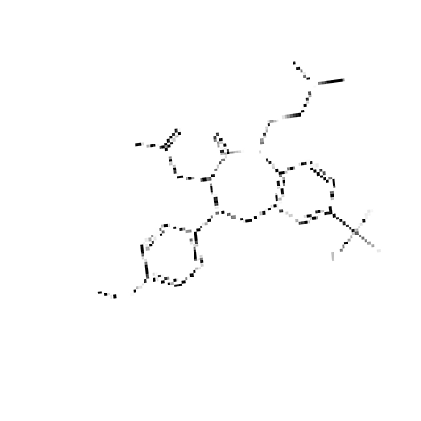 COc1ccc(C2Cc3cc(C(F)(F)F)ccc3N(CCN(C)C)C(=O)C2CC(C)=O)cc1